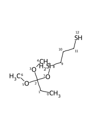 CCC(OC)(OC)O[SiH2]CCCS